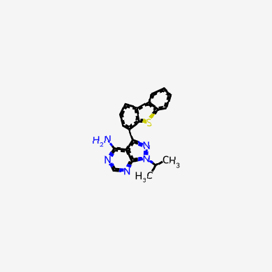 CC(C)n1nc(-c2cccc3c2sc2ccccc23)c2c(N)ncnc21